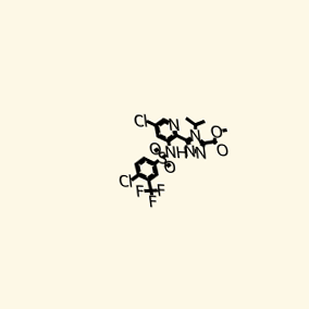 COC(=O)c1nnc(-c2ncc(Cl)cc2NS(=O)(=O)c2ccc(Cl)c(C(F)(F)F)c2)n1C(C)C